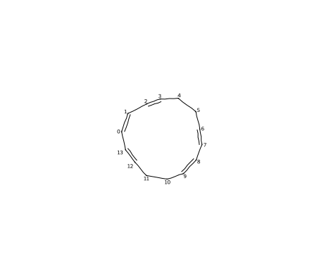 C1=CC=CCCC=CC=CCCC=C1